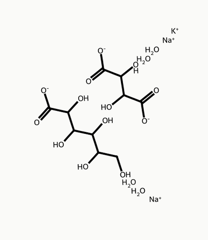 O.O.O.O.O=C([O-])C(O)C(O)C(=O)[O-].O=C([O-])C(O)C(O)C(O)C(O)CO.[K+].[Na+].[Na+]